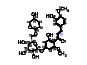 COc1ccc(/C=C/C(=O)c2c(O)cc(O[C@H]3O[C@@H](CO[C@@H]4CC[C@H](O)CO4)[C@@H](O)[C@@H](O)[C@H]3O)cc2OC)cc1O